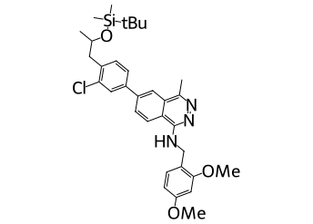 COc1ccc(CNc2nnc(C)c3cc(-c4ccc(CC(C)O[Si](C)(C)C(C)(C)C)c(Cl)c4)ccc23)c(OC)c1